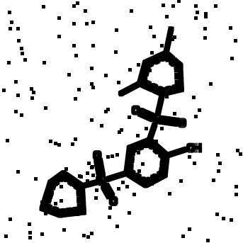 Cc1ccc(S(=O)(=O)c2cc(S(=O)(=O)c3ccccc3)ccc2O)c(C)c1